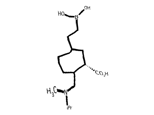 CC(C)N(C)CC1CCC(CCB(O)O)C[C@@H]1C(=O)O